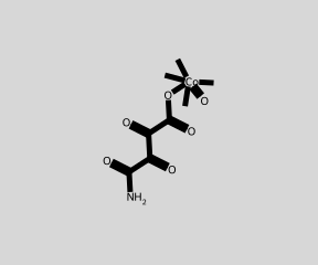 [CH3][Co]([CH3])([CH3])([CH3])(=[O])[O]C(=O)C(=O)C(=O)C(N)=O